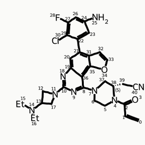 C=CC(=O)N1CCN(c2nc(N3CC(N(CC)CC)C3)nc3cc(-c4cc(N)cc(F)c4Cl)c4ccoc4c23)C[C@@H]1CC#N